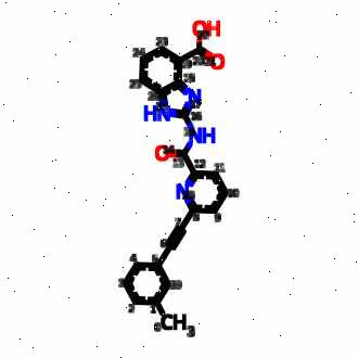 Cc1cccc(C#Cc2cccc(C(=O)Nc3nc4c(C(=O)O)cccc4[nH]3)n2)c1